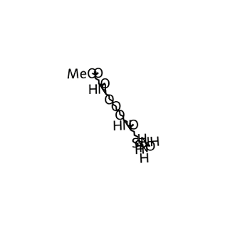 COC(=O)CCCC(=O)NCCCOCCOCCOCCCNC(=O)CCCC[C@@H]1SC[C@@H]2NC(=O)N[C@@H]21